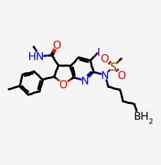 BCCCCN(c1nc2c(cc1I)C(C(=O)NC)C(c1ccc(C)cc1)O2)S(C)(=O)=O